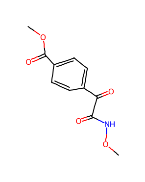 CONC(=O)C(=O)c1ccc(C(=O)OC)cc1